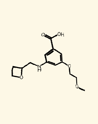 COCCOc1cc(NCC2CCO2)cc(C(=O)O)c1